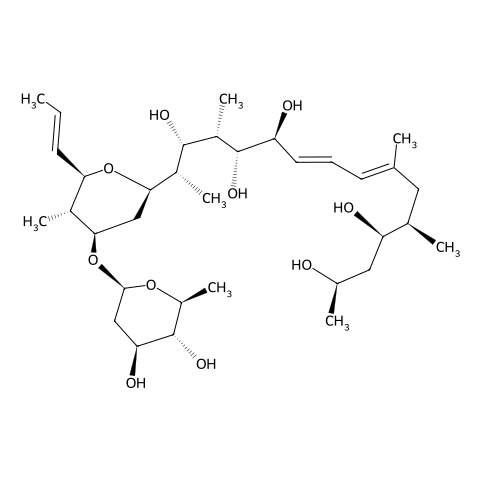 C/C=C/[C@H]1O[C@@H]([C@@H](C)[C@H](O)[C@H](C)[C@@H](O)[C@@H](O)/C=C/C=C(\C)C[C@@H](C)[C@H](O)C[C@@H](C)O)C[C@@H](O[C@@H]2C[C@H](O)[C@@H](O)[C@H](C)O2)[C@@H]1C